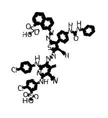 Cc1c(C#N)c(Nc2ccc(Cl)c(S(=O)(=O)O)c2)nc(Nc2ccc(Cl)cc2)c1N=Nc1sc(N=Nc2ccc3cccc(S(=O)(=O)O)c3c2)c(-c2ccc(NC(=O)Nc3ccccc3)cc2)c1C#N